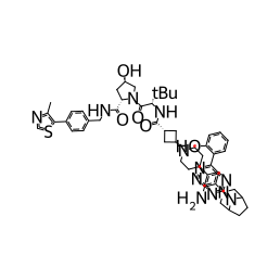 Cc1ncsc1-c1ccc(CNC(=O)[C@@H]2C[C@@H](O)CN2C(=O)[C@@H](NC(=O)[C@H]2C[C@H](N3CCC(c4cnc(N5C6CCC5CN(c5cc(-c7ccccc7O)nnc5N)C6)nc4)CC3)C2)C(C)(C)C)cc1